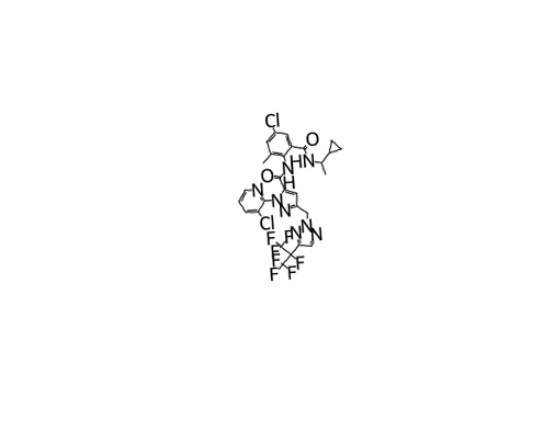 Cc1cc(Cl)cc(C(=O)NC(C)C2CC2)c1NC(=O)c1cc(Cn2ncc(C(F)(C(F)(F)F)C(F)(F)F)n2)nn1-c1ncccc1Cl